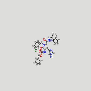 CC(CNC(=O)CN(Cc1cccc(Cl)c1)C(=O)[C@H](Cc1c[nH]cn1)NC(=O)OCc1ccccc1)c1ccccc1